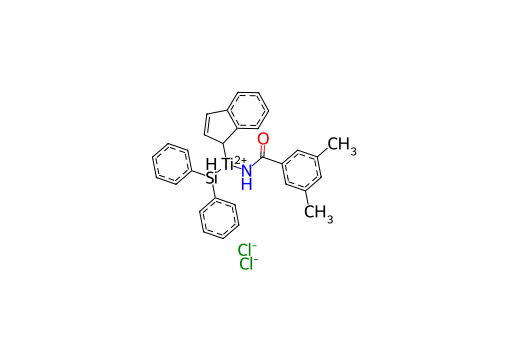 Cc1cc(C)cc(C(=O)[NH][Ti+2]([CH]2C=Cc3ccccc32)[SiH](c2ccccc2)c2ccccc2)c1.[Cl-].[Cl-]